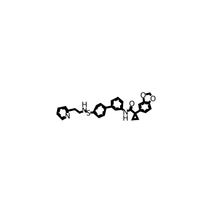 O=C(Nc1cccc(-c2ccc(SNCCc3ccccn3)cc2)c1)C1(c2ccc3c(c2)OCO3)CC1